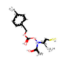 CCCC(=O)N(OC(=O)OCc1ccc([N+](=O)[O-])cc1)[C@@H](CS)C(=O)O